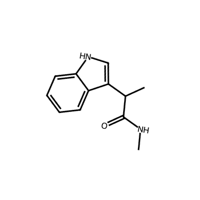 CNC(=O)C(C)c1c[nH]c2ccccc12